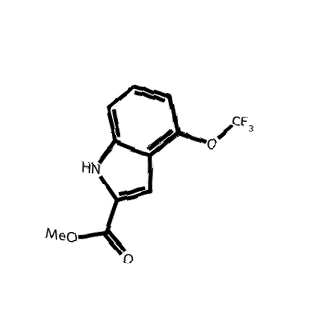 COC(=O)c1cc2c(OC(F)(F)F)cccc2[nH]1